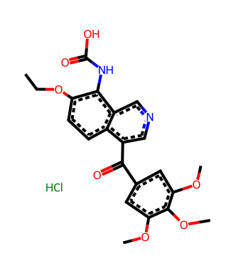 CCOc1ccc2c(C(=O)c3cc(OC)c(OC)c(OC)c3)cncc2c1NC(=O)O.Cl